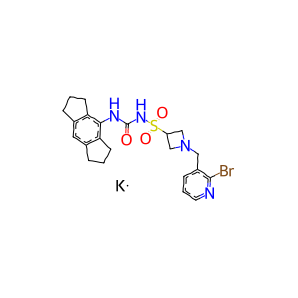 O=C(Nc1c2c(cc3c1CCC3)CCC2)NS(=O)(=O)C1CN(Cc2cccnc2Br)C1.[K]